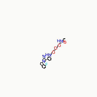 C=CC(=O)NCCOCCOCCOCCNc1cccc([C@H]2CN([C@H]3CCc4cccc(F)c43)C[C@@H]2N(C)C)c1